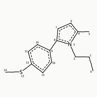 CCCn1c(C)ccc1-c1ccc(SC)cc1